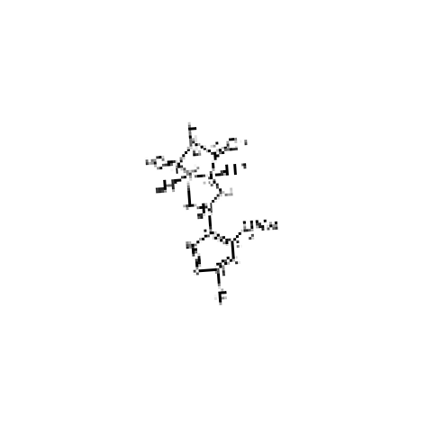 COc1cc(F)ccc1N1C[C@@H]2C(=O)NC(=O)[C@@H]2C1